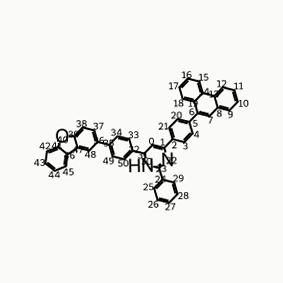 C1=C(c2ccc(-c3cc4ccccc4c4ccccc34)cc2)N=C(c2ccccc2)NC1c1ccc(-c2ccc3oc4ccccc4c3c2)cc1